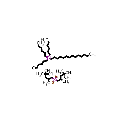 CC(CC(C)(C)C)CP(=S)([S-])CC(C)CC(C)(C)C.CCCCCCCCCCCCCC[P+](CCCCCC)(CCCCCC)CCCCCC